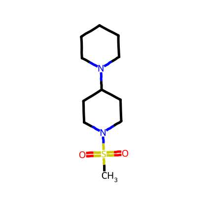 CS(=O)(=O)N1CCC(N2CCCCC2)CC1